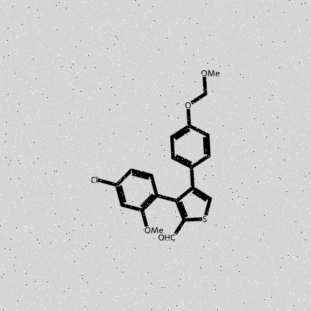 COCOc1ccc(-c2csc(C=O)c2-c2ccc(Cl)cc2OC)cc1